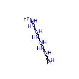 CCCNCCNCCNCCNCCNCCNCCNCCCNCC